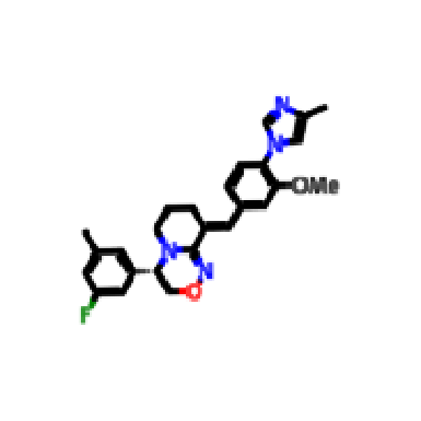 COc1cc(/C=C2\CCCN3C2=NOC[C@@H]3c2cc(C)cc(F)c2)ccc1-n1cnc(C)c1